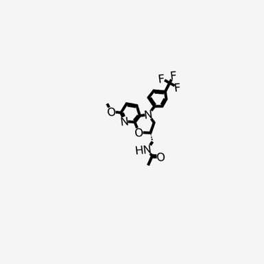 COc1ccc2c(n1)O[C@@H](CNC(C)=O)CN2c1ccc(C(F)(F)F)cc1